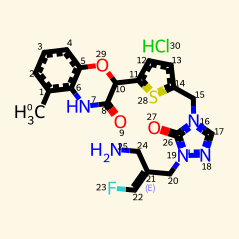 Cc1cccc2c1NC(=O)C(c1ccc(Cn3cnn(C/C(=C/F)CN)c3=O)s1)O2.Cl